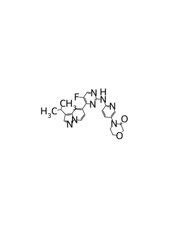 CC(C)c1cnn2ccc(-c3nc(Nc4ccc(N5CCOCC5=O)cn4)ncc3F)cc12